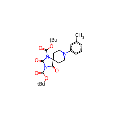 Cc1cccc(N2CCC3(CC2)C(=O)N(C(=O)OC(C)(C)C)C(=O)N3C(=O)OC(C)(C)C)c1